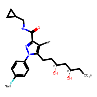 CC(C)c1c(C(=O)NCC2CC2)nn(-c2ccc(F)cc2)c1CC[C@@H](O)C[C@@H](O)CC(=O)O.[NaH]